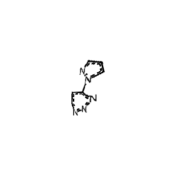 c1cnn(-c2ccnnn2)c1